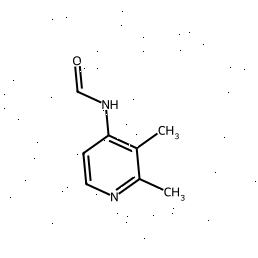 Cc1nccc(NC=O)c1C